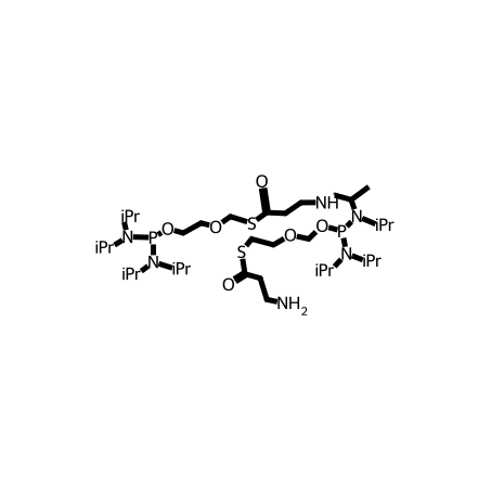 CC(C)N(C(C)C)P(OCCOCSC(=O)CCNCC(C)N(C(C)C)P(OCOCCSC(=O)CCN)N(C(C)C)C(C)C)N(C(C)C)C(C)C